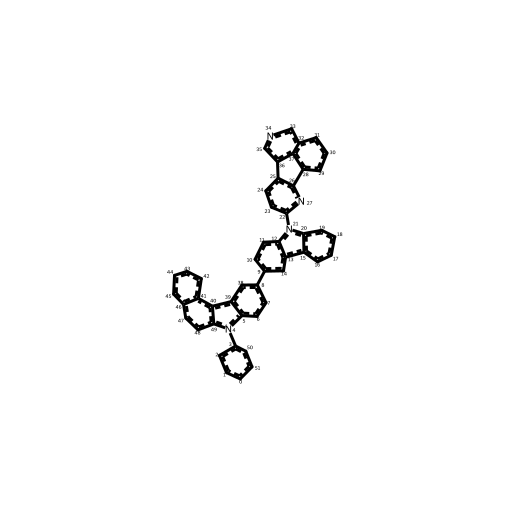 c1ccc(-n2c3ccc(-c4ccc5c(c4)c4ccccc4n5-c4ccc5c(n4)-c4cccc6cncc-5c46)cc3c3c4ccccc4ccc32)cc1